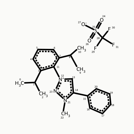 CC(C)c1cccc(C(C)C)c1-[n+]1cc(-c2ccccc2)n(C)n1.O=S(=O)([O-])C(F)(F)F